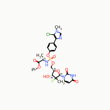 CC(C)OC(=O)[C@H](C)NP(=O)(OC[C@H]1O[C@@H](n2ccc(=O)[nH]c2=O)[C@](C)(F)[C@@H]1O)Oc1ccc(-c2ncn(C)c2Cl)cc1